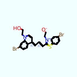 [O-]CC[n+]1c(/C=C/C=C2\C=CN(CCO)c3cc(Br)ccc32)sc2ccc(Br)cc21